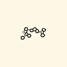 c1ccc(-n2c3ccccc3c3c4c(-c5ccc6c(ccc7cc(-n8c9ccccc9c9ccccc98)ccc76)c5)cccc4oc32)cc1